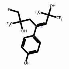 Oc1ccc(/C(=C/C(O)(C(F)(F)F)C(F)(F)F)CC(O)(CF)C(F)(F)F)cc1